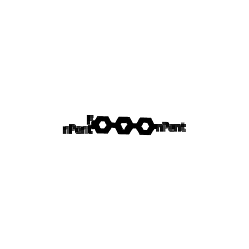 CCCCCC1CCC(c2ccc(C3CCC(F)(CCCCC)CC3)cc2)CC1